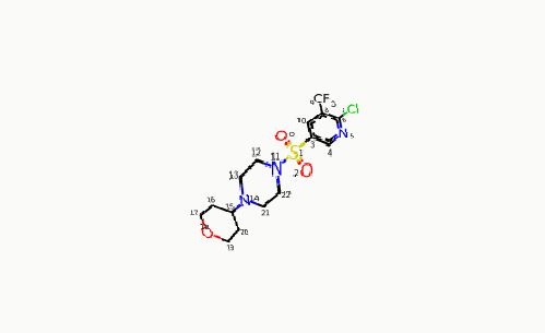 O=S(=O)(c1cnc(Cl)c(C(F)(F)F)c1)N1CCN(C2CCOCC2)CC1